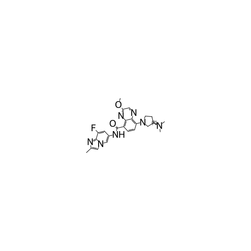 COc1cnc2c(N3CC[C@@H](N(C)C)C3)ccc(C(=O)Nc3cc(F)c4nc(C)cn4c3)c2n1